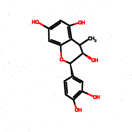 CC1c2c(O)cc(O)cc2O[C@H](c2ccc(O)c(O)c2)[C@@H]1O